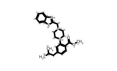 COC(=O)c1ccc(CC(C)C)cc1N1CCN(Cc2nc3ccccc3s2)CC1